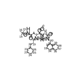 COC[C@H](NC(=O)[C@H](CC(=O)NOC(C)(C)C)NCCCc1ccccc1)C(=O)NCc1cccc2ccccc12